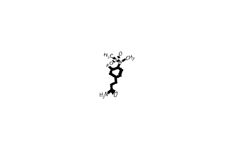 CN(c1ccc(CCC(N)=O)cc1F)S(C)(=O)=O